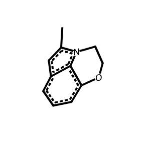 Cc1cc2cccc3c2n1CCO3